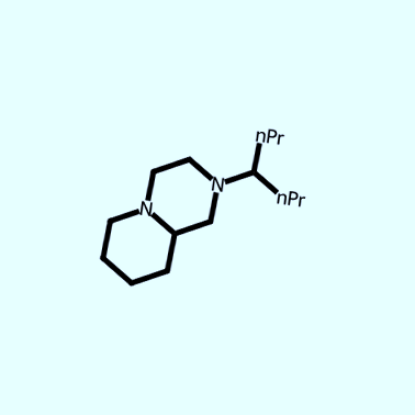 CCCC(CCC)N1CCN2CCCCC2C1